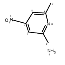 Cc1cc([N+](=O)[O-])cc(C)n1.N